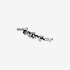 CN[C@@H](CC(C)C)C(=O)NCC(=O)N[C@@H](CCCCNC(=O)CCC(=O)O)C(=O)C(C)C